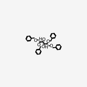 O[C@@H]([C@H](O)[C@@H](COCc1ccccc1)OCc1ccccc1)[C@@H](COCc1ccccc1)OCc1ccccc1